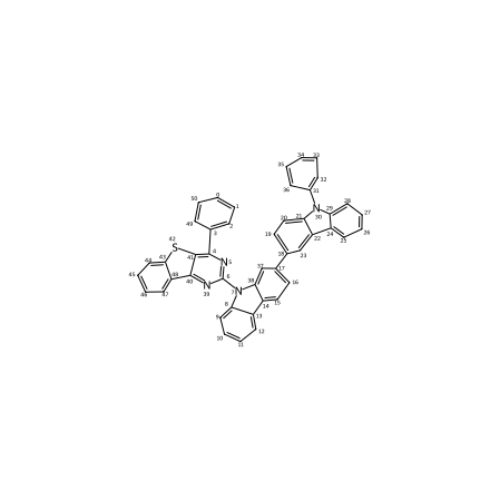 c1ccc(-c2nc(-n3c4ccccc4c4ccc(-c5ccc6c(c5)c5ccccc5n6-c5ccccc5)cc43)nc3c2sc2ccccc23)cc1